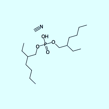 C#N.CCCCC(CC)COP(=O)(O)OCC(CC)CCCC